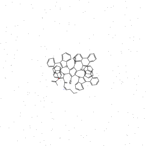 C=C(C)c1c(C(=C)/C=C\CCC)n(-c2c(C#N)c(-n3c4ccccc4c4c5ccccc5c5ccccc5c43)c(-n3c4ccccc4c4c5ccccc5c5ccccc5c43)c(C#N)c2-n2c3ccccc3c3c4ccccc4c4ccccc4c32)c2ccccc12